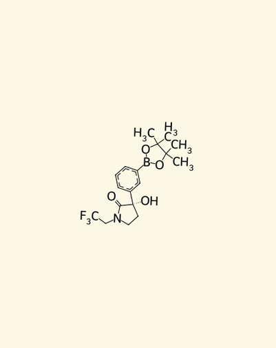 CC1(C)OB(c2cccc([C@@]3(O)CCN(CC(F)(F)F)C3=O)c2)OC1(C)C